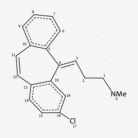 CNCC/C=C1/c2ccccc2C=Cc2ccc(Cl)cc21